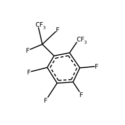 Fc1c(F)c(F)c(C(F)(F)C(F)(F)F)c(C(F)(F)F)c1F